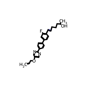 C=CCOc1cnc(-c2ccc(-c3ccc(/C=C/CCCC(C)O)c(F)c3)cc2)nc1